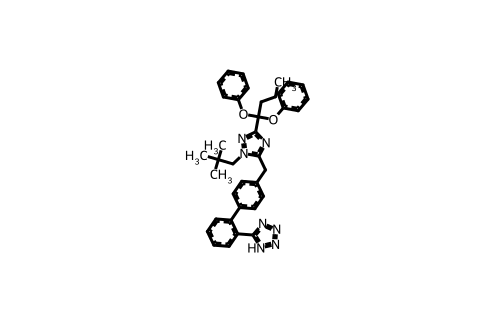 CCCC(Oc1ccccc1)(Oc1ccccc1)c1nc(Cc2ccc(-c3ccccc3-c3nnn[nH]3)cc2)n(CC(C)(C)C)n1